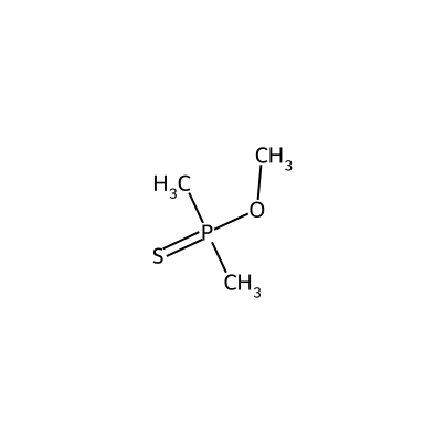 COP(C)(C)=S